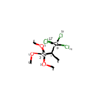 CO[Si](OC)(OC)C(C)[Si](Cl)(Cl)Cl